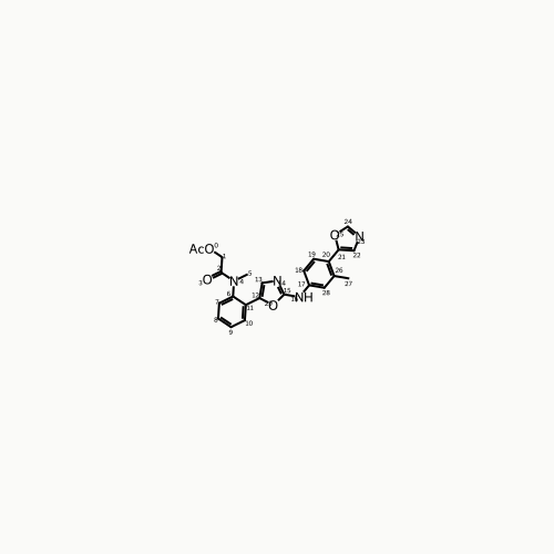 CC(=O)OCC(=O)N(C)c1ccccc1-c1cnc(Nc2ccc(-c3cnco3)c(C)c2)o1